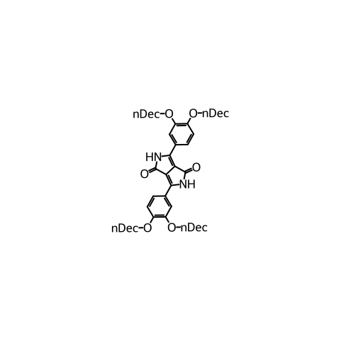 CCCCCCCCCCOc1ccc(C2=C3C(=O)NC(c4ccc(OCCCCCCCCCC)c(OCCCCCCCCCC)c4)=C3C(=O)N2)cc1OCCCCCCCCCC